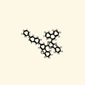 c1ccc(-c2ccc3cc(-c4cc(-c5nc(-c6cc7ccccc7c7ccccc67)c6sc7ccccc7c6n5)c5c(c4)oc4ccccc45)ccc3c2)cc1